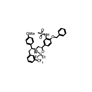 CC[Si](CC)(CC)O[C@@H](CN[C@@H](Cc1cccc(C(F)(F)F)c1)c1ccc(OC)cc1)c1ccc(OCc2ccccc2)c(NS(C)(=O)=O)c1